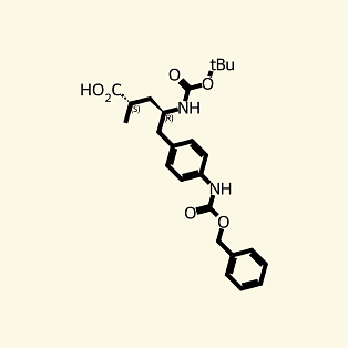 C[C@@H](C[C@H](Cc1ccc(NC(=O)OCc2ccccc2)cc1)NC(=O)OC(C)(C)C)C(=O)O